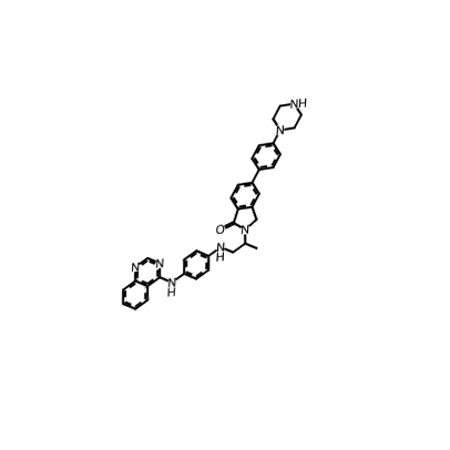 CC(CNc1ccc(Nc2ncnc3ccccc23)cc1)N1Cc2cc(-c3ccc(N4CCNCC4)cc3)ccc2C1=O